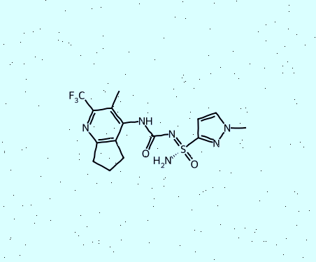 Cc1c(C(F)(F)F)nc2c(c1NC(=O)N=[S@](N)(=O)c1ccn(C)n1)CCC2